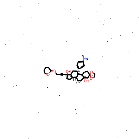 C[C@H]1C[C@@]2(O)CC3(CCC2=C2[C@@H]1[C@@H]1CC[C@@](O)(C#CCOC4CCCCO4)[C@@]1(C)C[C@@H]2c1ccc(N(C)C)cc1)OCCO3